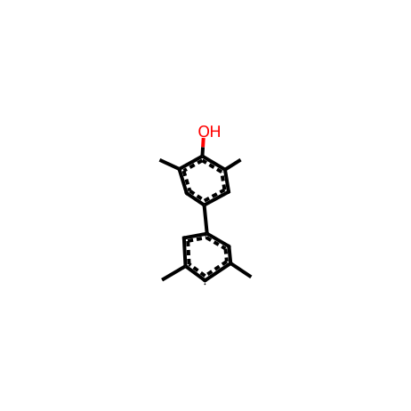 Cc1[c]c(C)cc(-c2cc(C)c(O)c(C)c2)c1